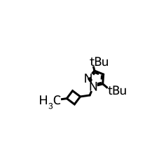 CC1CC(Cn2nc(C(C)(C)C)cc2C(C)(C)C)C1